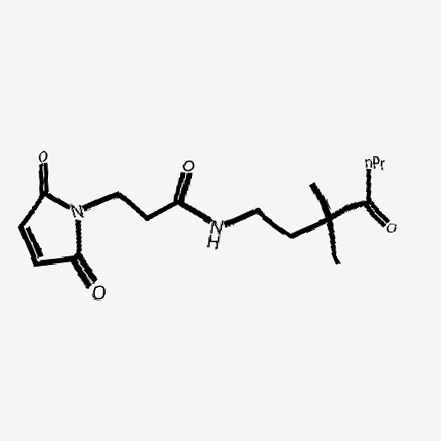 CCCC(=O)C(C)(C)CCNC(=O)CCN1C(=O)C=CC1=O